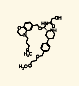 COCCCN1CCOc2ccc(COC(NC(=O)CO)[C@H]3C[C@H](c4ccc(COCCOC)cc4)CCN3)cc21